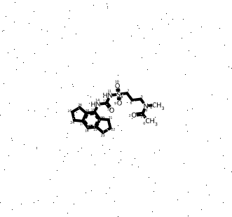 CC(=O)N(C)CCCS(=O)(=O)NC(=O)Nc1c2c(cc3c1CCC3)CCC2